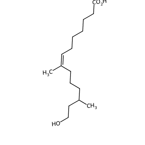 CC(=CCCCCCC(=O)O)CCCC(C)CCO